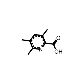 Cc1cc(C)c(C(=O)O)nc1C